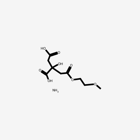 COCCOC(=O)CC(O)(CC(=O)O)C(=O)O.N